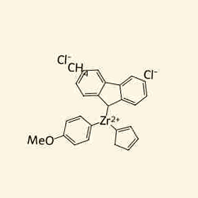 C.COc1cc[c]([Zr+2]([C]2=CC=CC2)[CH]2c3ccccc3-c3ccccc32)cc1.[Cl-].[Cl-]